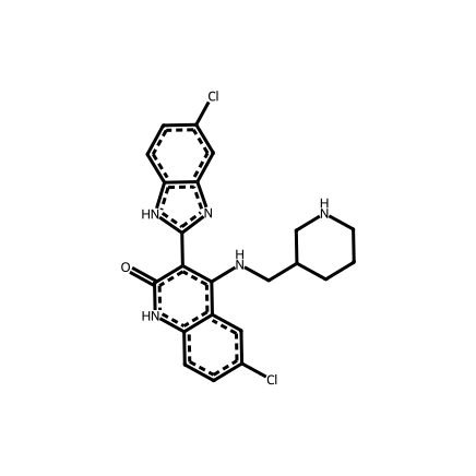 O=c1[nH]c2ccc(Cl)cc2c(NCC2CCCNC2)c1-c1nc2cc(Cl)ccc2[nH]1